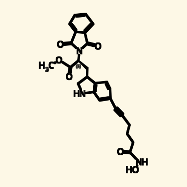 COC(=O)[C@H](CC1CNc2cc(C#CCCCC(=O)NO)ccc21)N1C(=O)c2ccccc2C1=O